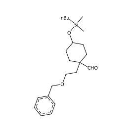 CCCC[Si](C)(C)OC1CCC(C=O)(CCOCc2ccccc2)CC1